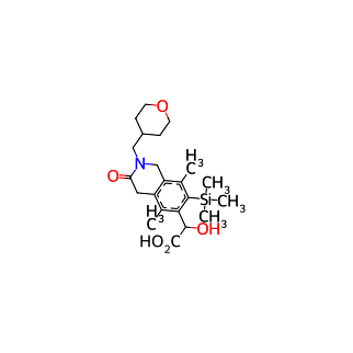 Cc1c2c(c(C)c([Si](C)(C)C)c1C(O)C(=O)O)CN(CC1CCOCC1)C(=O)C2